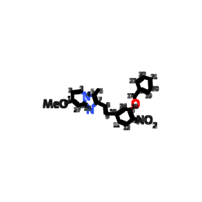 COc1ccn2c(C)c(C=Cc3ccc([N+](=O)[O-])c(OCc4ccccc4)c3)nc2c1